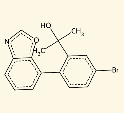 CC(C)(O)c1cc(Br)ccc1-c1cccc2ncoc12